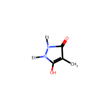 CCn1c(O)c(C)c(=O)n1CC